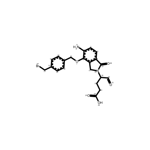 Nc1ccc2c(c1OCc1ccc(CBr)cc1)CN(C(C=O)CCC(=O)O)C2=O